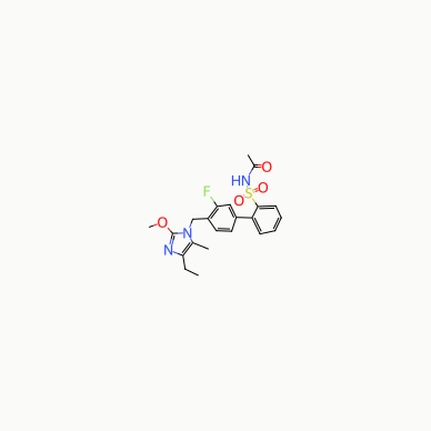 CCc1nc(OC)n(Cc2ccc(-c3ccccc3S(=O)(=O)NC(C)=O)cc2F)c1C